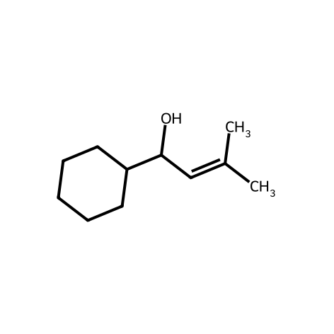 CC(C)=CC(O)C1CCCCC1